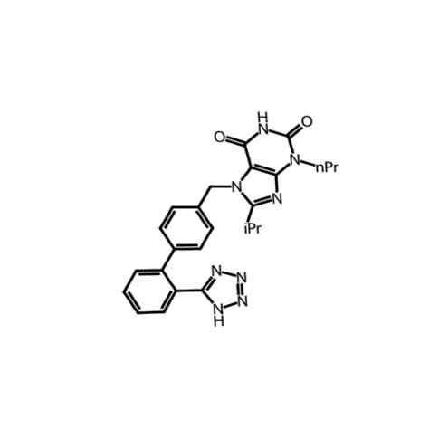 CCCn1c(=O)[nH]c(=O)c2c1nc(C(C)C)n2Cc1ccc(-c2ccccc2-c2nnn[nH]2)cc1